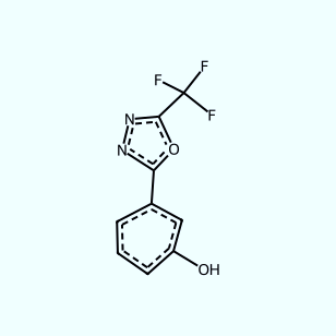 Oc1cccc(-c2nnc(C(F)(F)F)o2)c1